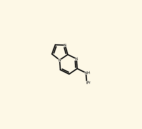 CC(C)Nc1ccn2ccnc2n1